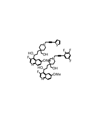 COc1ccc2ncc(F)c([C@H](O)CCC3(CO)CCN(CC#Cc4cc(F)cc(F)c4F)CC3)c2c1.COc1ccc2ncc(F)c([C@H](O)CCC3(CO)CCN(CC#Cc4cccs4)CC3)c2c1